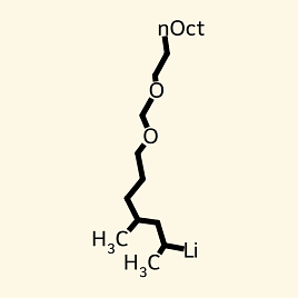 [Li][CH](C)CC(C)CCCOCOCCCCCCCCCC